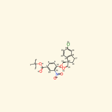 CC(C)(C)OC(=O)c1ccc(OC[C@]2(C=O)CCc3cc(Cl)ccc32)c([N+](=O)[O-])c1